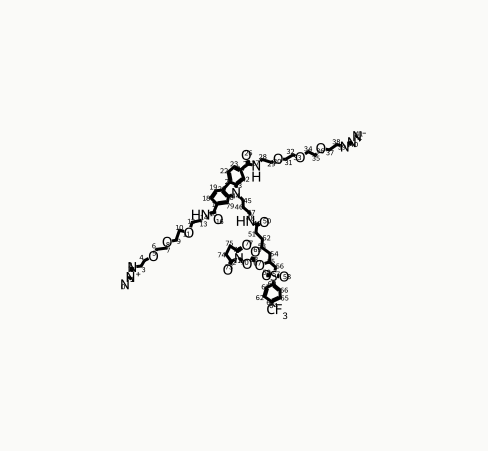 [N-]=[N+]=NCCOCCOCCOCCNC(=O)c1ccc2c3ccc(C(=O)NCCOCCOCCOCCN=[N+]=[N-])cc3n(CCCNC(=O)CCCCC(CS(=O)(=O)c3ccc(C(F)(F)F)cc3)OC(=O)ON3C(=O)CCC3=O)c2c1